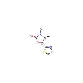 CCN1C(=O)O[C@@H](c2nccs2)[C@@H]1C